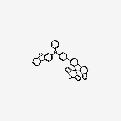 c1ccc(N(c2ccc(-c3ccc4c(c3)C3(c5ccccc5Oc5ccccc53)c3c-4ccc4ccccc34)cc2)c2ccc3c(c2)oc2ccccc23)cc1